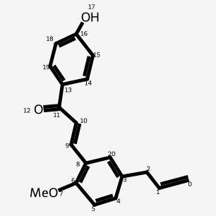 C=CCc1ccc(OC)c(C=CC(=O)c2ccc(O)cc2)c1